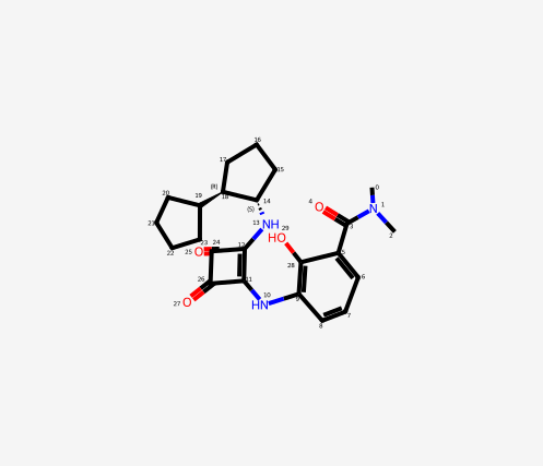 CN(C)C(=O)c1cccc(Nc2c(N[C@H]3CCC[C@@H]3C3CCCC3)c(=O)c2=O)c1O